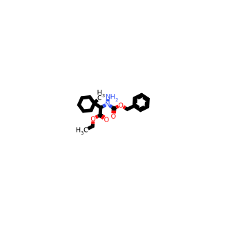 CCOC(=O)C(N(N)C(=O)OCc1ccccc1)C1(C)CCCCC1